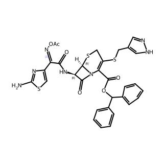 CC(=O)O/N=C(\C(=O)N[C@@H]1C(=O)N2C(C(=O)OC(c3ccccc3)c3ccccc3)=C(SCc3cn[nH]c3)CS[C@H]12)c1csc(N)n1